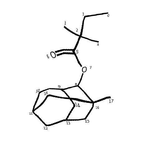 CCC(C)(C)C(=O)OC1C2CC3CC(C2)CC1(C)C3